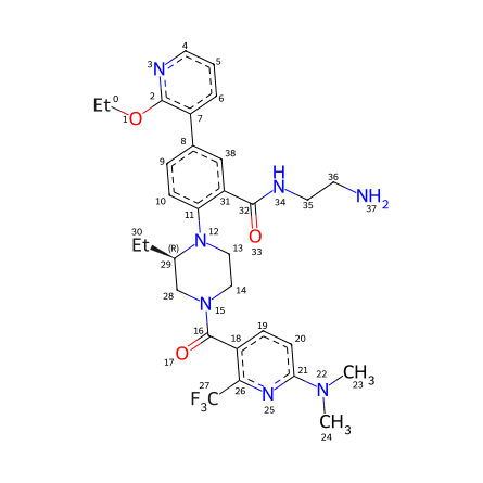 CCOc1ncccc1-c1ccc(N2CCN(C(=O)c3ccc(N(C)C)nc3C(F)(F)F)C[C@H]2CC)c(C(=O)NCCN)c1